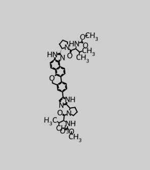 COC(=O)N[C@H](C(=O)N1CCCC1c1ncc(-c2ccc3c(c2)COc2c-3ccc3c2ccc2[nH]c([C@@H]4CCCN4C(=O)[C@@H](NC(=O)OC)C(C)C)nc23)[nH]1)C(C)C